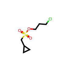 O=S(=O)(CC1CC1)OCCCCl